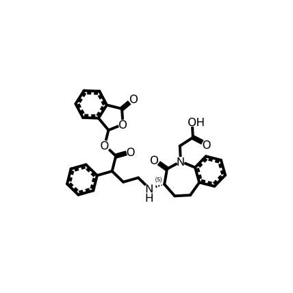 O=C(O)CN1C(=O)[C@@H](NCCC(C(=O)OC2OC(=O)c3ccccc32)c2ccccc2)CCc2ccccc21